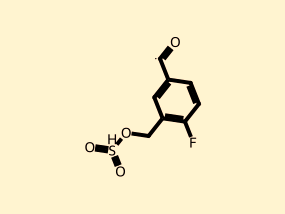 O=[C]c1ccc(F)c(CO[SH](=O)=O)c1